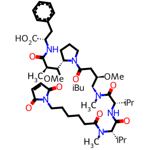 CC[C@H](C)[C@@H]([C@@H](CC(=O)N1CCC[C@H]1C(OC)[C@@H](C)C(=O)N[C@@H](Cc1ccccc1)C(=O)O)OC)N(C)C(=O)[C@@H](NC(=O)[C@H](C(C)C)N(C)C(=O)CCCCCN1C(=O)C=CC1=O)C(C)C